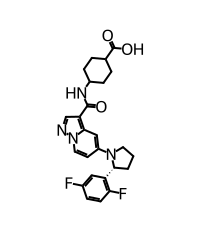 O=C(NC1CCC(C(=O)O)CC1)c1cnn2ccc(N3CCC[C@@H]3c3cc(F)ccc3F)cc12